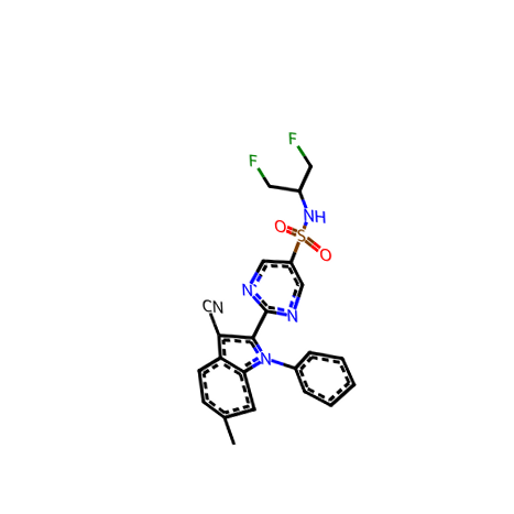 Cc1ccc2c(C#N)c(-c3ncc(S(=O)(=O)NC(CF)CF)cn3)n(-c3ccccc3)c2c1